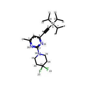 Cc1cc(C#C[Si](C(C)C)(C(C)C)C(C)C)nc(N2CCC(F)(F)CC2)n1